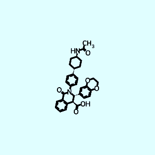 CC(=O)N[C@H]1CC[C@H](c2ccc(N3C(=O)c4ccccc4[C@H](C(=O)O)[C@H]3c3ccc4c(c3)OCCO4)cc2)CC1